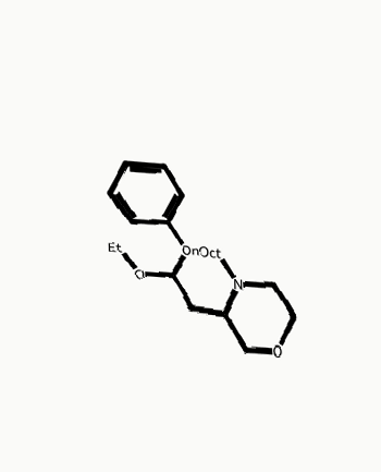 CCCCCCCCN1CCOCC1CC(OCC)Oc1ccccc1